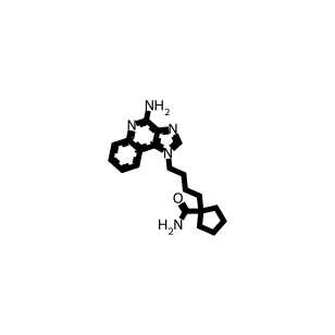 NC(=O)C1(CCCCn2cnc3c(N)nc4ccccc4c32)CCCC1